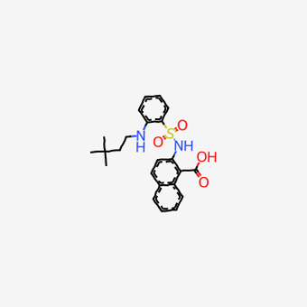 CC(C)(C)CCNc1ccccc1S(=O)(=O)Nc1ccc2ccccc2c1C(=O)O